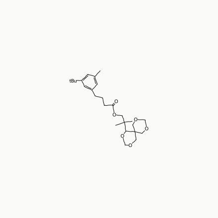 Cc1cc(CCCC(=O)OCC(C)(C)C2OCOCC23COCOC3)cc(C(C)(C)C)c1